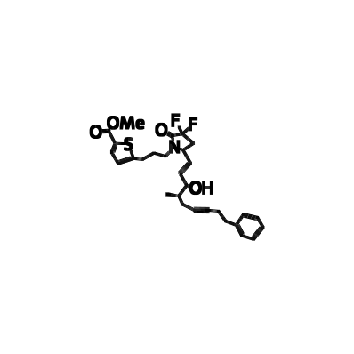 COC(=O)c1ccc(CCCN2C(=O)C(F)(F)CC2C=C[C@@H](O)[C@H](C)CC#CCCc2ccccc2)s1